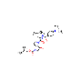 CC(C)COC(=O)N1CC(=O)C2C1=CCN2C(=O)C(CC(C)C)NC(=O)c1ccc(N(C)C)cc1